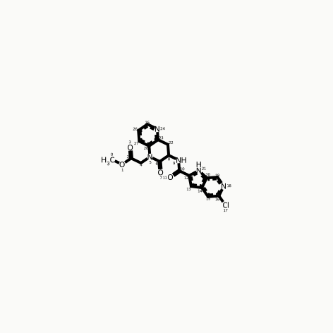 COC(=O)CN1C(=O)C(NC(=O)c2cc3cc(Cl)ncc3[nH]2)Cc2ncccc21